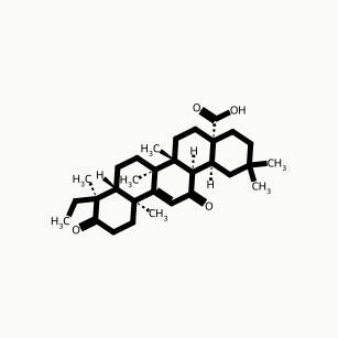 CC[C@]1(C)C(=O)CC[C@]2(C)C3=CC(=O)[C@@H]4[C@@H]5CC(C)(C)CC[C@]5(C(=O)O)CC[C@@]4(C)[C@]3(C)CC[C@@H]12